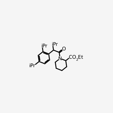 CCOC(=O)C1CCCCN1C(=O)C(c1ccc(C(C)C)cc1C(C)C)C(C)C